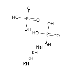 O=P(O)(O)O.O=P(O)(O)O.[KH].[KH].[KH].[NaH]